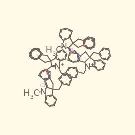 CN1/C(=C/C=C/C2=[N+](Cc3ccc(C[N+]4=C(/C=C/C=C5/N(C)c6ccccc6C5(Cc5ccccc5)Cc5ccccc5)C(Cc5ccccc5)(Cc5ccccc5)c5ccccc54)cc3)c3ccccc3C2(Cc2ccccc2)Cc2ccccc2)C(Cc2ccccc2)(Cc2ccccc2)c2ccccc21